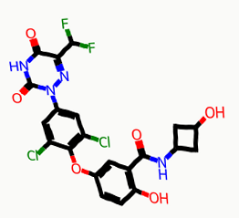 O=C(NC1CC(O)C1)c1cc(Oc2c(Cl)cc(-n3nc(C(F)F)c(=O)[nH]c3=O)cc2Cl)ccc1O